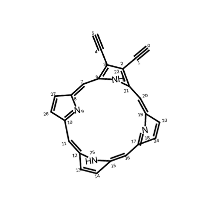 C#Cc1c(C#C)c2cc3nc(cc4ccc(cc5nc(cc1[nH]2)C=C5)[nH]4)C=C3